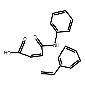 C=Cc1ccccc1.O=C(O)/C=C\C(=O)Nc1ccccc1